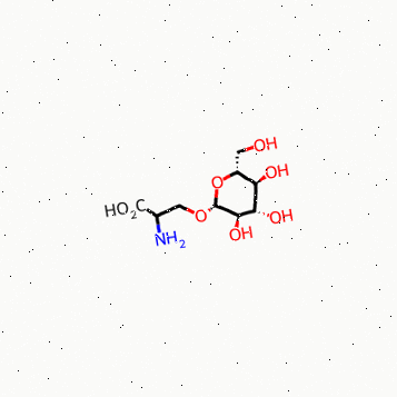 NC(CO[C@@H]1O[C@H](CO)[C@@H](O)[C@H](O)[C@H]1O)C(=O)O